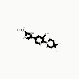 O=C(O)c1ncc(-c2cnc(N3CCC(F)(F)CC3)c(F)c2)s1